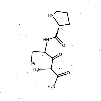 CC(C)CC(NC(=O)[C@@H]1CCCN1)C(=O)C(N)C(N)=O